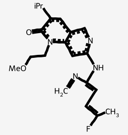 C=N/C(=C\C=C(/C)F)Nc1cc2c(cn1)cc(C(C)C)c(=O)n2CCOC